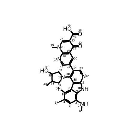 CNc1cc(F)c(F)c2c1[nH]c1ncc(-c3cnc4c(c3)c(=O)c(C(=O)O)cn4C)c(N3CC(C)C(O)C3)c12